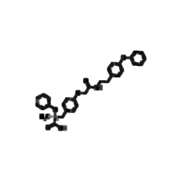 C[C@@](Cc1ccc(OCC(=O)NCCc2ccc(Oc3ccccc3)cc2)cc1)(Oc1ccccc1)C(=O)O